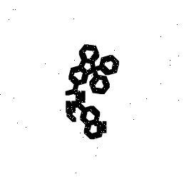 C/C=N\C(=N/C(C)c1ccc2c(c1)C(c1ccccc1)(c1ccccc1)c1ccccc1-2)c1ccc2ncccc2c1